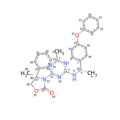 Cc1nc(N[C@@H](C)c2ccc(Oc3ccccc3)cc2)nc(N2C(=O)OC[C@@]2(C)c2ccccc2)n1